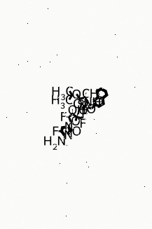 CC(C)OC(=O)[C@H](C)NP(=S)(OC[C@@]1(C(F)F)O[C@@H](n2cc(F)c(N)nc2=O)[C@H](F)[C@@H]1O)Oc1ccc2ccccc2c1